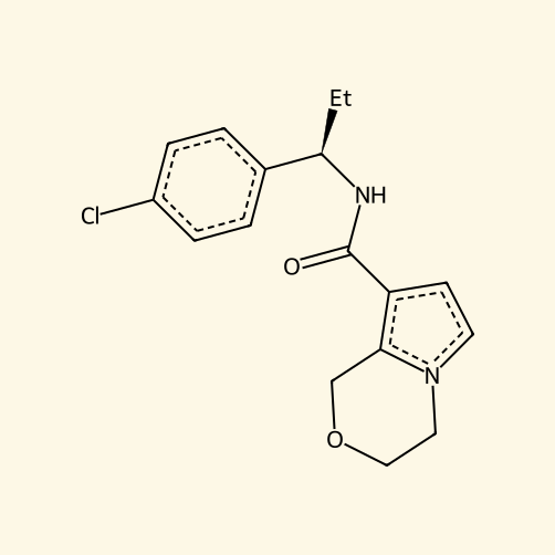 CC[C@@H](NC(=O)c1ccn2c1COCC2)c1ccc(Cl)cc1